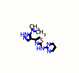 CN(C)c1[nH]ncc1-c1csc(Nc2ncccn2)n1